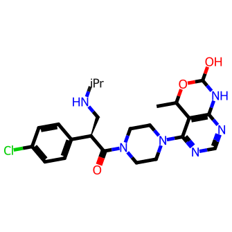 CC(C)NC[C@@H](C(=O)N1CCN(c2ncnc3c2C(C)OC(O)N3)CC1)c1ccc(Cl)cc1